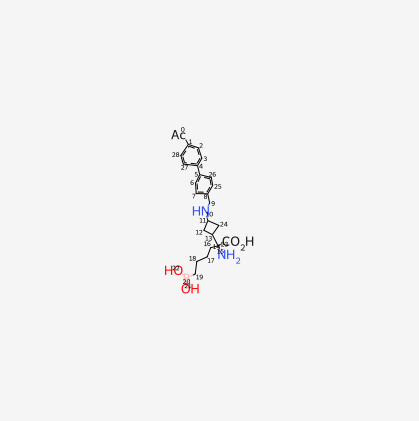 CC(=O)c1ccc(-c2ccc(CNC3CC(C(N)(CCCCB(O)O)C(=O)O)C3)cc2)cc1